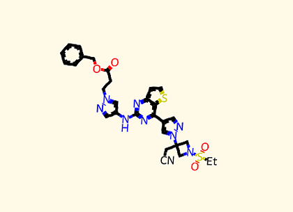 CCS(=O)(=O)N1CC(CC#N)(n2cc(-c3nc(Nc4cnn(CCC(=O)OCc5ccccc5)c4)nc4ccsc34)cn2)C1